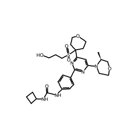 C[C@H]1COCCN1c1cc(C2(S(=O)(=O)CCCO)CCOCC2)nc(-c2ccc(NC(=O)NC3CCC3)cc2)n1